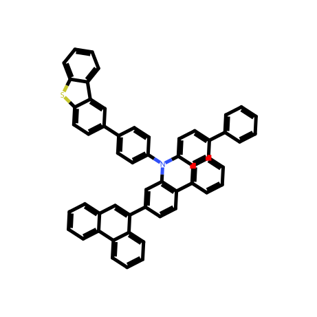 c1ccc(-c2ccc(N(c3ccc(-c4ccc5sc6ccccc6c5c4)cc3)c3cc(-c4cc5ccccc5c5ccccc45)ccc3-c3ccccc3)cc2)cc1